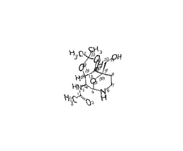 CC(=O)N[C@@H]1C2NCC[C@](CO)(O2)[C@@H]2OC(C)(C)O[C@H]12